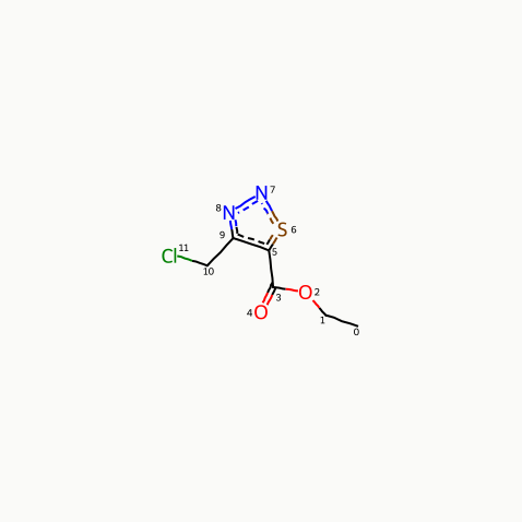 CCOC(=O)c1snnc1CCl